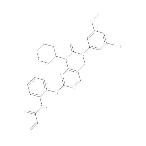 C=CC(=O)Nc1ccccc1Nc1ncc2c(n1)N(C1CCCNC1)C(=O)N(c1cc(O)cc(OC)c1)C2